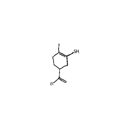 C=C(CC)C1CCC(C)=C(S)C1